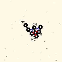 N#Cc1ccc(-c2ccc3c4ccccc4n(-c4cc(C#N)cc(-n5c6ccccc6c6ccc(-c7ccc(C#N)cc7)cc65)c4-c4cc(C#N)cc(C#N)c4)c3c2)cc1